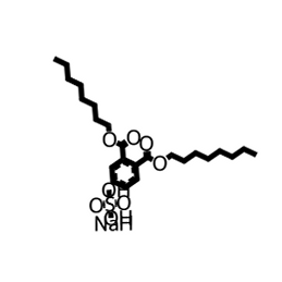 CCCCCCCCOC(=O)c1ccccc1C(=O)OCCCCCCCC.O=S(=O)(O)O.[NaH]